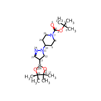 CC(C)(C)OC(=O)N1CCC(N2CC(B3OC(C)(C)C(C)(C)O3)C=N2)CC1